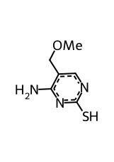 COCc1cnc(S)nc1N